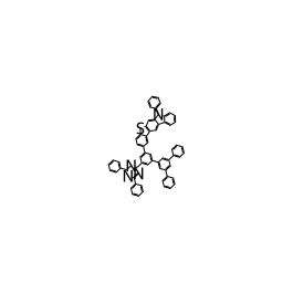 c1ccc(-c2cc(-c3ccccc3)cc(-c3cc(-c4ccc5sc6cc7c(cc6c5c4)c4ccccc4n7-c4ccccc4)cc(-c4nc(-c5ccccc5)nc(-c5ccccc5)n4)c3)c2)cc1